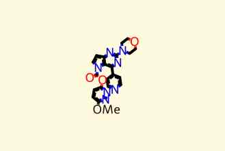 COc1ccc(OC(=O)n2ccc3nc(N4CCOCC4)nc(-c4ccncc4)c32)nn1